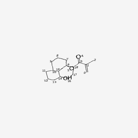 C=C(C)C(=O)OC12CCCC3CCCC(O)(CCC1)C32